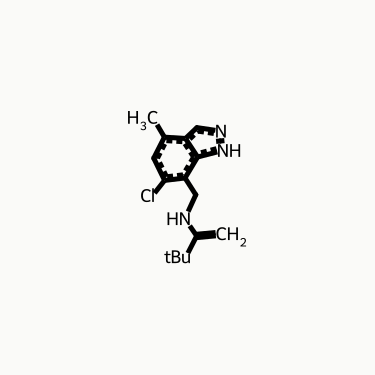 C=C(NCc1c(Cl)cc(C)c2cn[nH]c12)C(C)(C)C